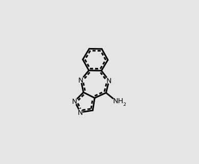 Nc1nc2ccccc2nc2nncc1-2